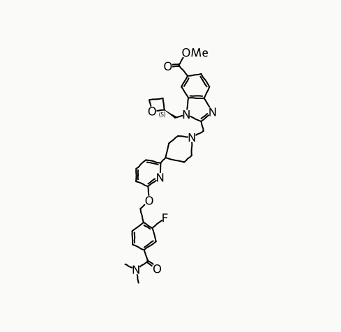 COC(=O)c1ccc2nc(CN3CCC(c4cccc(OCc5ccc(C(=O)N(C)C)cc5F)n4)CC3)n(C[C@@H]3CCO3)c2c1